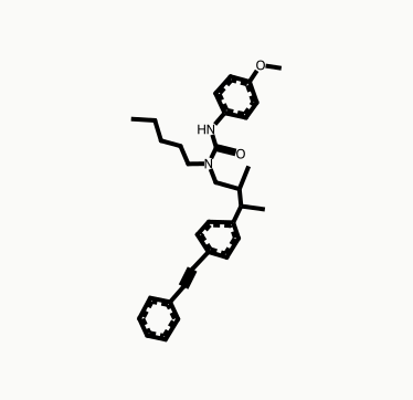 CCCCCN(CC(C)C(C)c1ccc(C#Cc2ccccc2)cc1)C(=O)Nc1ccc(OC)cc1